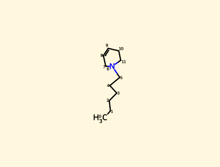 CCCCCCN1C[C]=CCC1